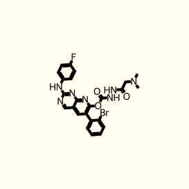 CN(C)CC(=O)NNC(=O)Oc1nc2nc(Nc3ccc(F)cc3)ncc2cc1-c1ccccc1Br